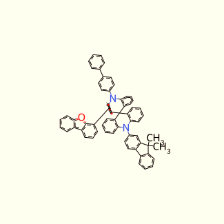 CC1(C)c2ccccc2-c2ccc(N3c4ccccc4C4(c5ccccc53)c3ccccc3N(c3ccc(-c5ccccc5)cc3)c3ccc(-c5cccc6c5oc5ccccc56)cc34)cc21